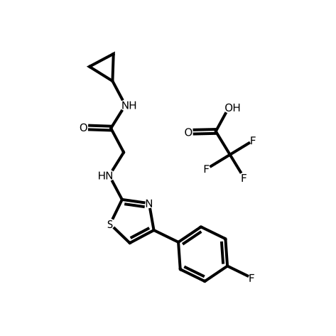 O=C(CNc1nc(-c2ccc(F)cc2)cs1)NC1CC1.O=C(O)C(F)(F)F